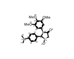 COc1cc(N2C(=O)C[S+]([O-])C2c2ccc(N(C)C)cc2)cc(OC)c1OC